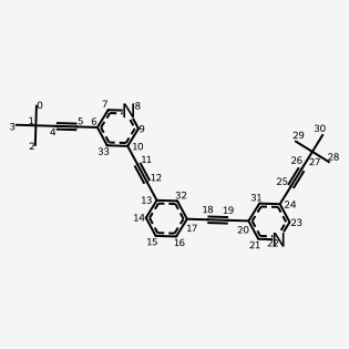 CC(C)(C)C#Cc1cncc(C#Cc2cccc(C#Cc3cncc(C#CC(C)(C)C)c3)c2)c1